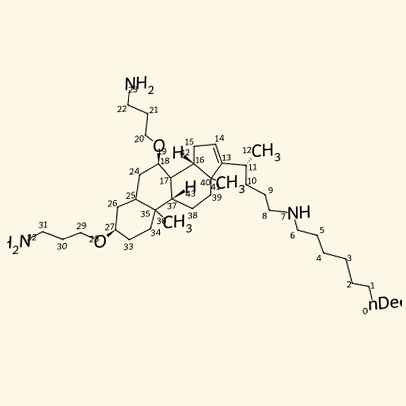 CCCCCCCCCCCCCCCCNCCC[C@@H](C)C1=CC[C@H]2C3[C@H](OCCCN)CC4C[C@H](OCCCN)CCC4(C)[C@H]3CCC12C